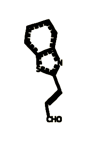 O=CC=Cc1nc2ccccc2s1